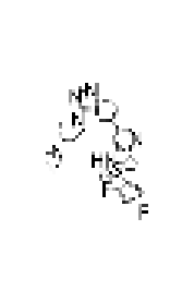 O=S(=O)(Nc1cncc(-c2ccc3ncnc(N4CCC(N5CCCC5)CC4)c3c2)c1)c1ccc(F)cc1F